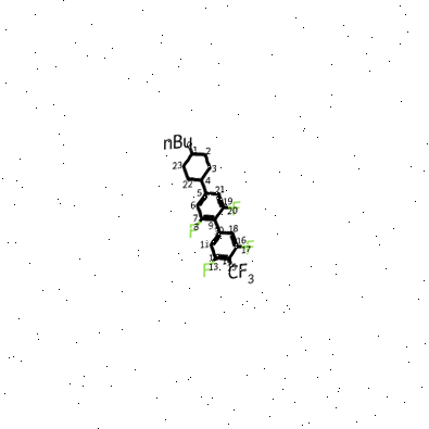 CCCCC1CCC(c2cc(F)c(-c3cc(F)c(C(F)(F)F)c(F)c3)c(F)c2)CC1